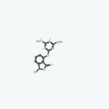 CCC1OC(=O)c2c(Oc3nc(OC)nc(OC)n3)cccc21